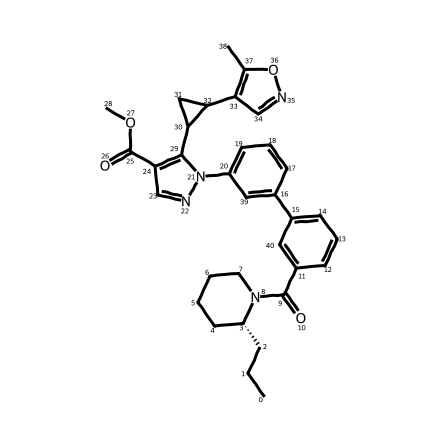 CCC[C@@H]1CCCCN1C(=O)c1cccc(-c2cccc(-n3ncc(C(=O)OC)c3C3CC3c3cnoc3C)c2)c1